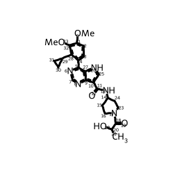 COc1ccc(-c2ncnc3c(C(=O)NC4CCN(C(=O)C(C)O)CC4)c[nH]c23)c(C2CC2)c1OC